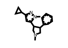 CN1CC(c2ccccc2)C(c2cc(C3CC3)nn2C)C1